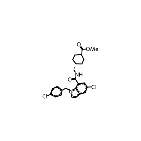 COC(=O)[C@H]1CC[C@H](CNC(=O)c2cc(Cl)cc3ccn(Cc4ccc(Cl)cc4)c23)CC1